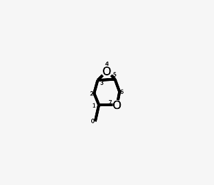 CC1CC2OC2CO1